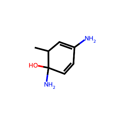 CC1C=C(N)C=CC1(N)O